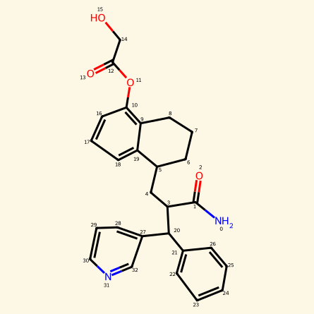 NC(=O)C(CC1CCCc2c(OC(=O)CO)cccc21)C(c1ccccc1)c1cccnc1